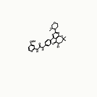 CCN1CC(C)(C)Oc2nc(N3CCOC[C@@H]3C)nc(-c3ccc(NC(=O)Nc4cc(OC)ccn4)cc3)c2C1=O